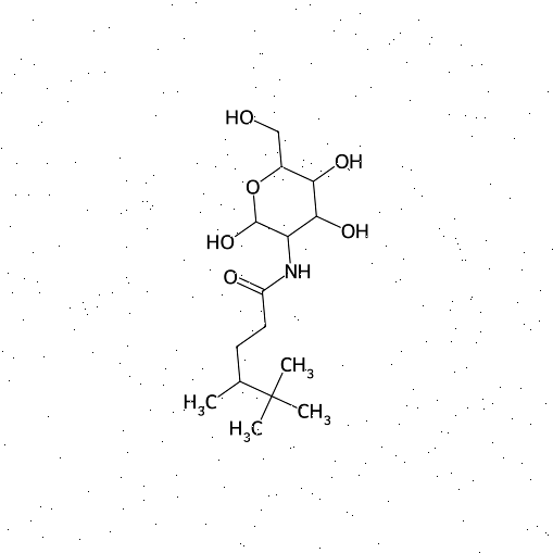 CC(CCC(=O)NC1C(O)OC(CO)C(O)C1O)C(C)(C)C